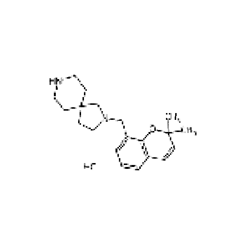 CC1(C)C=Cc2cccc(CN3CCC4(CCNCC4)C3)c2O1.Cl